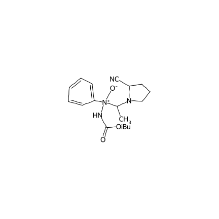 CC(C)COC(=O)N[N+]([O-])(c1ccccc1)C(C)N1CCCC1C#N